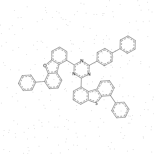 c1ccc(-c2ccc(-c3nc(-c4cccc5oc6c(-c7ccccc7)cccc6c45)nc(-c4cccc5sc6c(-c7ccccc7)cccc6c45)n3)cc2)cc1